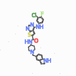 O=C(NC1CCN(Cc2ccc3[nH]ccc3c2)CC1)c1cc2c(Nc3ccc(F)c(Cl)c3)ncnc2s1